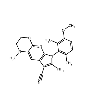 COc1ccc(C)c(-n2c(N)c(C#N)c3cc4c(nc32)OCCN4C)c1C